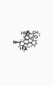 C=CC(=O)Oc1ccccc1/C(=C(\CC)c1ccc(C#N)cc1Cl)c1ccc2[nH]ncc2c1